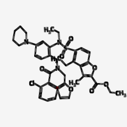 CCOC(=O)c1oc2ccc(S(=O)(=O)N(CC)c3cc(N4CCCCC4)ccc3CN(Cc3ccco3)C(=O)c3ccccc3Cl)c(CC)c2c1C